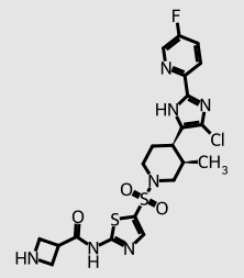 C[C@H]1CN(S(=O)(=O)c2cnc(NC(=O)C3CNC3)s2)CC[C@H]1c1[nH]c(-c2ccc(F)cn2)nc1Cl